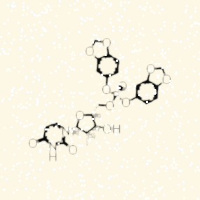 C[C@H]1[C@H](O)[C@@H](COP(=O)(Oc2ccc3c(c2)OCO3)Oc2ccc3c(c2)OCO3)O[C@H]1n1ccc(=O)[nH]c1=O